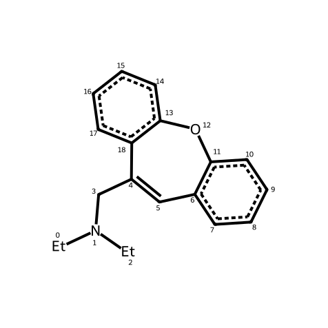 CCN(CC)CC1=Cc2ccccc2Oc2ccccc21